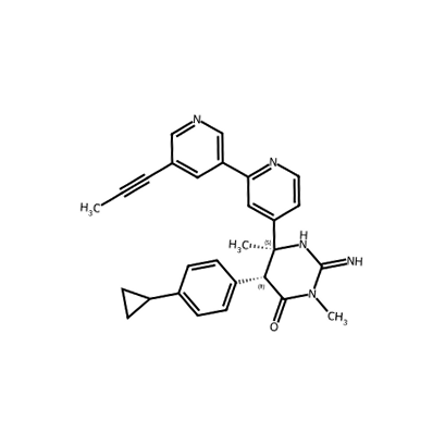 CC#Cc1cncc(-c2cc([C@@]3(C)NC(=N)N(C)C(=O)[C@@H]3c3ccc(C4CC4)cc3)ccn2)c1